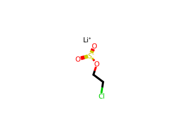 O=[S-](=O)OCCCl.[Li+]